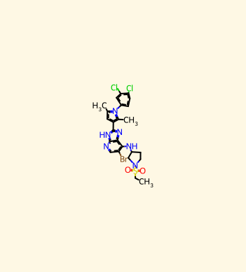 CCS(=O)(=O)N1CCC(Nc2c(Br)cnc3[nH]c(-c4cc(C)n(-c5ccc(Cl)c(Cl)c5)c4C)nc23)C1